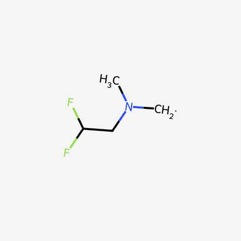 [CH2]N(C)CC(F)F